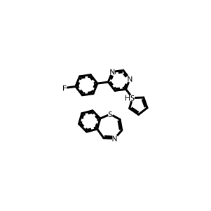 C1=CSc2ccccc2C=N1.Fc1ccc(-c2cc([SH]3C=CC=C3)ncn2)cc1